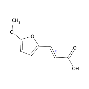 COc1ccc(/C=C/C(=O)O)o1